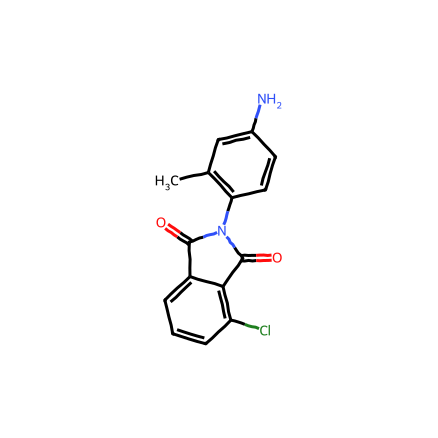 Cc1cc(N)ccc1N1C(=O)c2cccc(Cl)c2C1=O